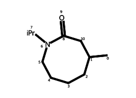 CC1CCCCN(C(C)C)C(=O)C1